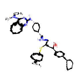 Cc1ccc(SC(CNC[C@H]2CC[C@@H](Nc3nc(N(C)C)c4ccccc4n3)CC2)CC(O)c2ccc(C3CCCCC3)cc2)cc1